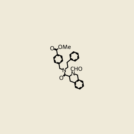 COC(=O)c1ccc(CN(CCc2ccccc2)C(=O)C2Cc3ccccc3CN2C=O)cc1